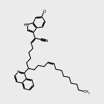 CCCCCCCC/C=C\CCCC(CCCC/C=C(\C#N)c1c[nH]c2cc(Cl)ccc12)c1nccc2ccccc12